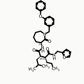 CCC[C@H](C(=O)NCc1ccco1)[C@@H](CC(C)C)C(=O)N[C@H]1CCCCN(Cc2cccc(Oc3ccccc3)c2)C1=O